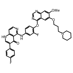 COc1cc2ncnc(Oc3ccc(Nc4nccc5[nH]cc(-c6ccc(F)cc6)c(=O)c45)cc3F)c2cc1OCCCN1CCCCC1